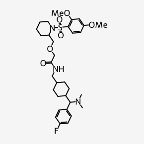 COc1ccc(S(=O)(=O)N2CCCCC2COCC(=O)NCC2CCC(C(c3ccc(F)cc3)N(C)C)CC2)c(OC)c1